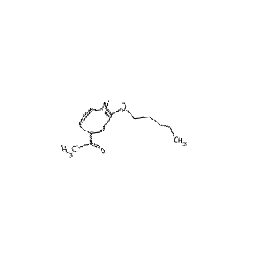 CCCCCOc1cc(C(C)=O)ccn1